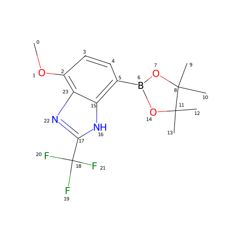 COc1ccc(B2OC(C)(C)C(C)(C)O2)c2[nH]c(C(F)(F)F)nc12